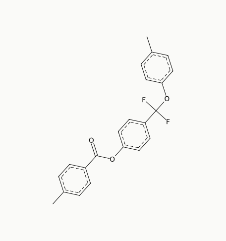 Cc1ccc(OC(F)(F)c2ccc(OC(=O)c3ccc(C)cc3)cc2)cc1